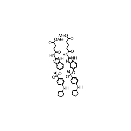 COC(=O)CCC(=O)Nc1nc2cc(OS(=O)(=O)c3ccc(NC4CCCC4)cc3)ccc2[nH]1.COC(=O)CCCC(=O)Nc1nc2cc(OS(=O)(=O)c3ccc(NC4CCCC4)cc3)ccc2[nH]1